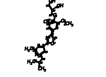 COc1cc(-c2noc(-c3cc(C)nc(CC(C)C)c3)n2)cc(Cl)c1OC[C@H](O)CO